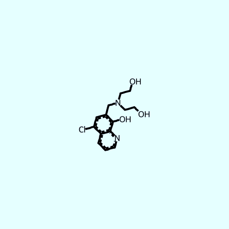 OCCN(CCO)Cc1cc(Cl)c2cccnc2c1O